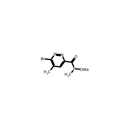 CON(C)C(=O)c1cc(C)c(Br)nn1